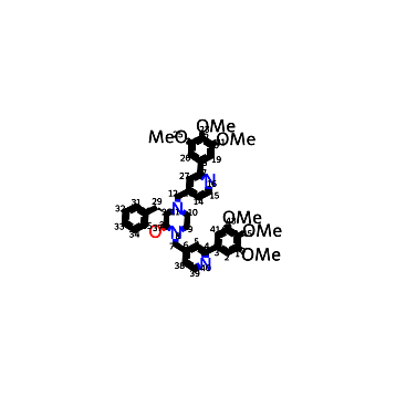 COc1cc(-c2cc(CN3CCN(Cc4ccnc(-c5cc(OC)c(OC)c(OC)c5)c4)[C@@H](Cc4ccccc4)C3=O)ccn2)cc(OC)c1OC